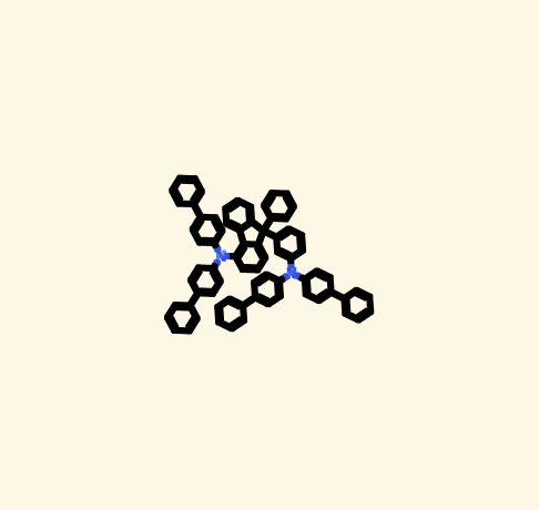 c1ccc(-c2ccc(N(c3ccc(-c4ccccc4)cc3)c3cccc(C4(c5ccccc5)c5ccccc5-c5c(N(c6ccc(-c7ccccc7)cc6)c6ccc(-c7ccccc7)cc6)cccc54)c3)cc2)cc1